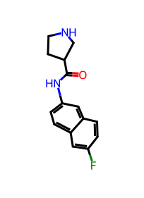 O=C(Nc1ccc2cc(F)ccc2c1)C1CCNC1